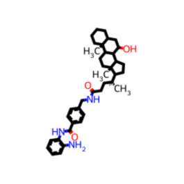 C[C@H](CCC(=O)NCc1ccc(C(=O)Nc2ccccc2N)cc1)C1CCC2C3C(O)CC4CCCCC4(C)C3CCC21C